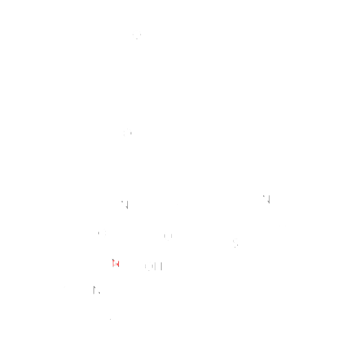 O=C(O)N1C2CC1CN(c1nc3c(OC4CCOCC4)ccc(-c4nccs4)c3o1)C2